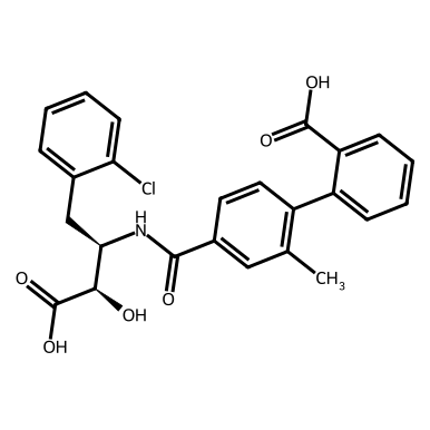 Cc1cc(C(=O)N[C@H](Cc2ccccc2Cl)[C@@H](O)C(=O)O)ccc1-c1ccccc1C(=O)O